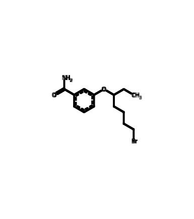 CCC(CCCCBr)Oc1cccc(C(N)=O)c1